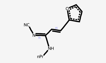 CCCNC(/C=C/c1ccco1)=N/C#N